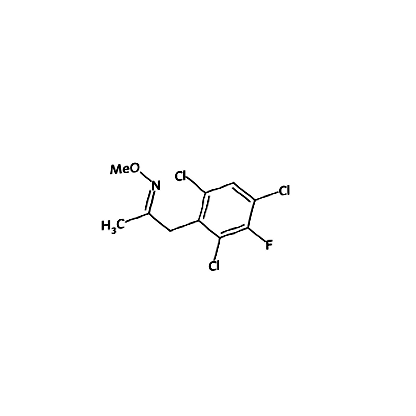 CON=C(C)Cc1c(Cl)cc(Cl)c(F)c1Cl